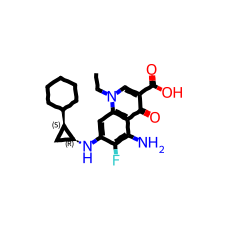 CCn1cc(C(=O)O)c(=O)c2c(N)c(F)c(N[C@@H]3C[C@H]3C3CCCCC3)cc21